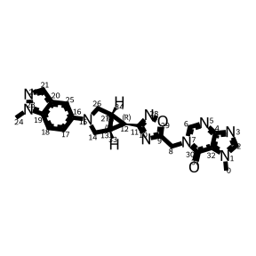 Cn1cnc2ncn(Cc3nc([C@H]4[C@@H]5CN(c6ccc7c(cnn7C)c6)C[C@@H]54)no3)c(=O)c21